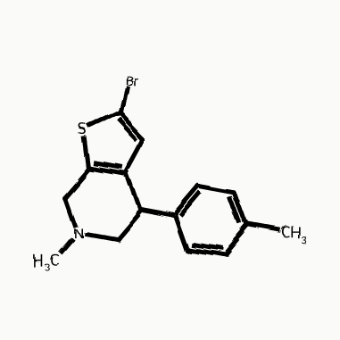 Cc1ccc(C2CN(C)Cc3sc(Br)cc32)cc1